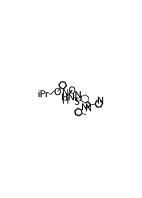 Cc1ccccc1-n1nc(-c2cccnc2)c2c1-c1sc(NC(=O)Nc3ccccc3OCCC(C)C)nc1CC2